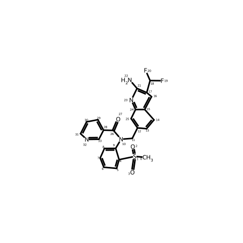 CS(=O)(=O)c1ccccc1N(Cc1ccc2cc(C(F)F)c(N)nc2c1)C(=O)c1cccnc1